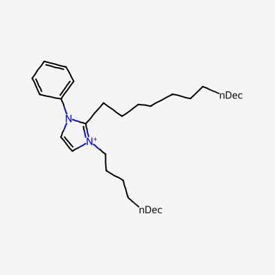 CCCCCCCCCCCCCCCCCc1n(-c2ccccc2)cc[n+]1CCCCCCCCCCCCCC